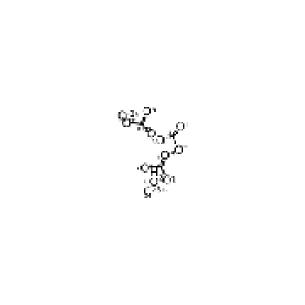 O.O=C([O-])[O-].O=C([O-])[O-].O=C([O-])[O-].[Cr+3].[Cr+3]